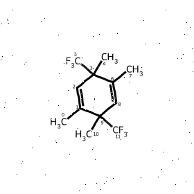 CC1=CC(C)(C(F)(F)F)C(C)=CC1(C)C(F)(F)F